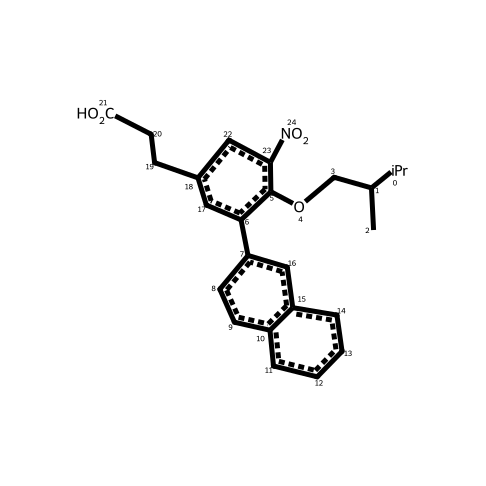 CC(C)C(C)COc1c(-c2ccc3ccccc3c2)cc(CCC(=O)O)cc1[N+](=O)[O-]